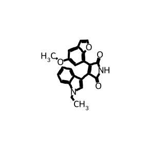 CCn1cc(C2=C(c3cc(OC)cc4ccoc34)C(=O)NC2=O)c2ccccc21